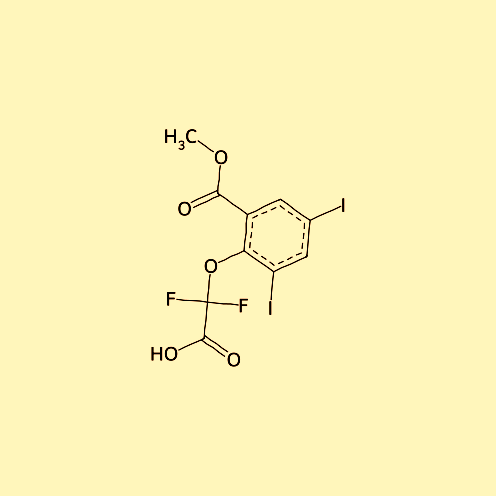 COC(=O)c1cc(I)cc(I)c1OC(F)(F)C(=O)O